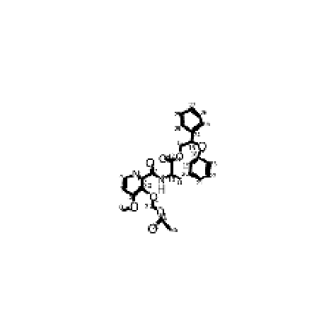 COc1ccnc(C(=O)NC(C)C(=O)OCC(Oc2ccccc2)c2ccccc2)c1OCOC(C)=O